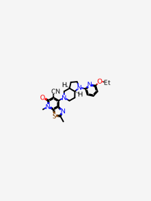 CCOc1cccc(N2CC[C@@H]3CN(c4c(C#N)c(=O)n(C)c5sc(C)nc45)CC[C@@H]32)n1